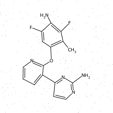 Cc1c(Oc2ncccc2-c2ccnc(N)n2)cc(F)c(N)c1F